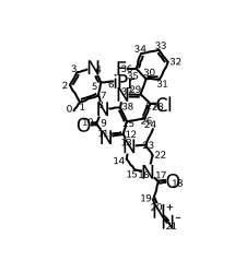 Cc1ccnc(C(C)C)c1-n1c(=O)nc(N2CCN(C(=O)C=[N+]=[N-])CC2C)c2cc(Cl)c(-c3ccccc3F)nc21